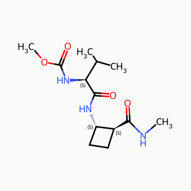 CNC(=O)[C@H]1CC[C@@H]1NC(=O)[C@@H](NC(=O)OC)C(C)C